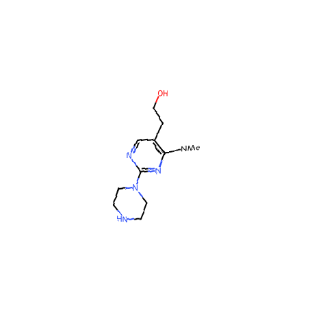 CNc1nc(N2CCNCC2)ncc1CCO